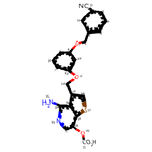 N#Cc1cccc(COc2cccc(OCc3csc4c(OC(=O)O)cnc(N)c34)c2)c1